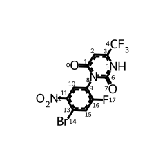 O=c1cc(C(F)(F)F)[nH]c(=O)n1-c1cc([N+](=O)[O-])c(Br)cc1F